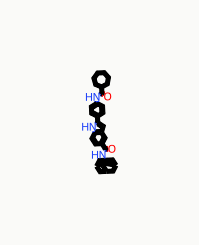 O=C(NC12CC3CC(CC(C3)C1)C2)c1ccc2[nH]c(-c3ccc(NC(=O)C4CCCCCC4)cc3)cc2c1